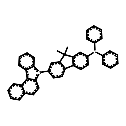 CC1(C)c2cc(N(c3ccccc3)c3ccccc3)ccc2-c2ccc(-n3c4ccccc4c4c5ccccc5ccc43)cc21